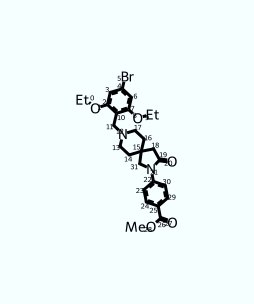 CCOc1cc(Br)cc(OCC)c1CN1CCC2(CC1)CC(=O)N(c1ccc(C(=O)OC)cc1)C2